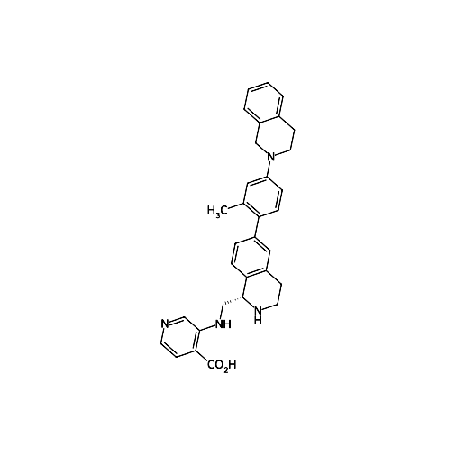 Cc1cc(N2CCc3ccccc3C2)ccc1-c1ccc2c(c1)CCN[C@@H]2CNc1cnccc1C(=O)O